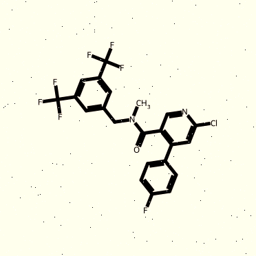 CN(Cc1cc(C(F)(F)F)cc(C(F)(F)F)c1)C(=O)c1cnc(Cl)cc1-c1ccc(F)cc1